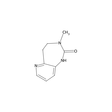 CN1CCc2ncccc2NC1=O